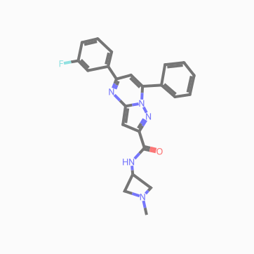 CN1CC(NC(=O)c2cc3nc(-c4cccc(F)c4)cc(-c4ccccc4)n3n2)C1